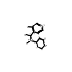 Cc1cnccc1C(C)N(C)C1CCCCC1